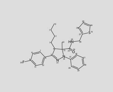 CCCCC1C(c2ccc(F)cc2)=NN(c2ccccc2)C1(C)C(=O)NCc1cccs1